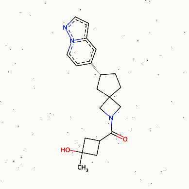 CC1(O)CC(C(=O)N2CC3(CC[C@@H](c4ccn5nccc5c4)C3)C2)C1